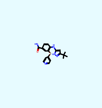 CC(C)(C)c1cc(Nc2ccc(C([NH])=O)cc2Sc2ccncc2)[nH]n1